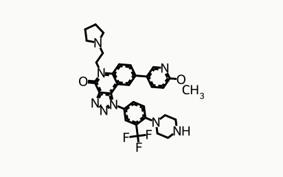 COc1ccc(-c2ccc3c(c2)c2c(nnn2-c2ccc(N4CCNCC4)c(C(F)(F)F)c2)c(=O)n3CCN2CCCC2)cn1